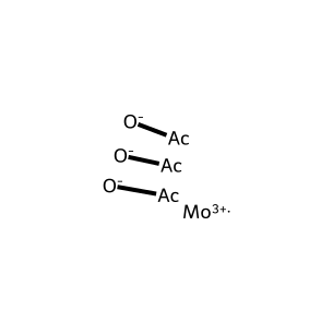 CC(=O)[O-].CC(=O)[O-].CC(=O)[O-].[Mo+3]